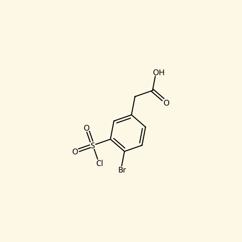 O=C(O)Cc1ccc(Br)c(S(=O)(=O)Cl)c1